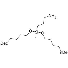 CCCCCCCCCCCCCCO[Si](C)(CCCN)OCCCCCCCCCCCCCC